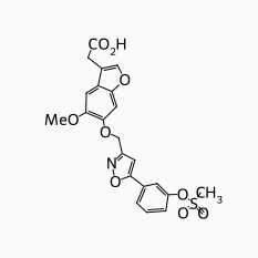 COc1cc2c(CC(=O)O)coc2cc1OCc1cc(-c2cccc(OS(C)(=O)=O)c2)on1